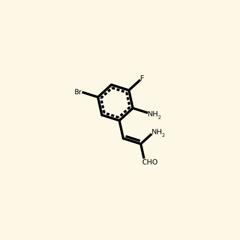 N/C(C=O)=C\c1cc(Br)cc(F)c1N